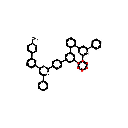 CC1C=CC(c2cccc(-c3cc(-c4ccccc4)nc(-c4ccc(-c5cc(-c6cccnc6)cc(-c6ccccc6-c6cc(-c7ccccc7)nc(-c7ccccc7)n6)c5)cc4)n3)c2)=CC1